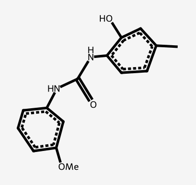 COc1cccc(NC(=O)Nc2ccc(C)cc2O)c1